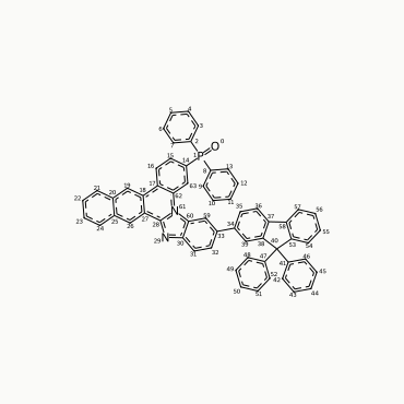 O=P(c1ccccc1)(c1ccccc1)c1ccc2c3cc4ccccc4cc3c3nc4ccc(-c5ccc6c(c5)C(c5ccccc5)(c5ccccc5)c5ccccc5-6)cc4n3c2c1